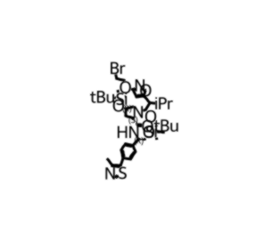 Cc1ncsc1-c1ccc([C@H](CO[Si](C)(C)C(C)(C)C)NC(=O)[C@@H]2C[C@@H](O[Si](C)(C)C(C)(C)C)CN2C(=O)C(c2cc(OCCBr)no2)C(C)C)cc1